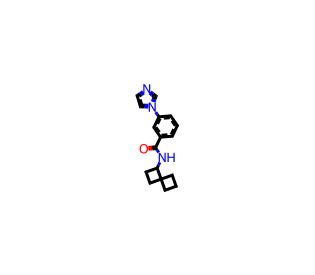 O=C(NC1CCC12CCC2)c1cccc(-n2ccnc2)c1